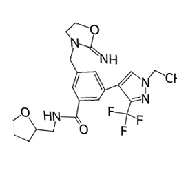 CCn1cc(-c2cc(CN3CCOC3=N)cc(C(=O)NCC3CCCO3)c2)c(C(F)(F)F)n1